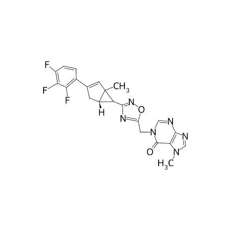 Cn1cnc2ncn(Cc3nc(C4[C@@H]5CC(c6ccc(F)c(F)c6F)=CC45C)no3)c(=O)c21